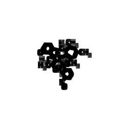 CC1=CC(C)=C(CN2Cc3ccc4c(c3C2(C)C(NS(=O)(=O)c2cccc(N=O)n2)=C(C)C)O4)[C@@H](C)C(C)=C1